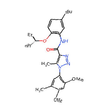 CCC[C@H](CC)Oc1ccc(C(C)(C)C)cc1NC(=O)c1nnn(-c2cc(C)c(OC)cc2OC)c1C